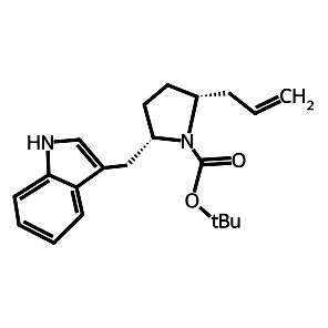 C=CC[C@H]1CC[C@@H](Cc2c[nH]c3ccccc23)N1C(=O)OC(C)(C)C